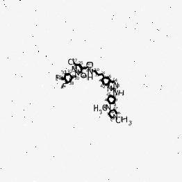 CN1CCC(N(C)c2ccc(Nc3ncc4cc(/C=C/CNC(=O)c5cc(Cl)nn(Cc6ccc(F)c(F)c6)c5=O)ccc4n3)cc2)CC1